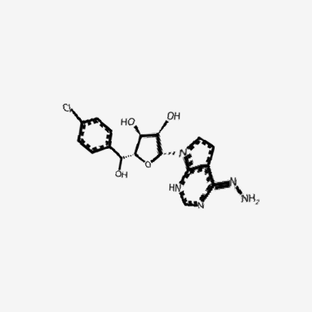 NN=c1nc[nH]c2c1ccn2[C@@H]1O[C@H](C(O)c2ccc(Cl)cc2)[C@@H](O)[C@H]1O